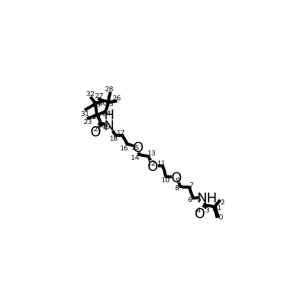 C=C(C)C(=O)NCCCOCCOCCOCCCNC(=O)C(C)(CC(C)(C)C)C(C)(C)C